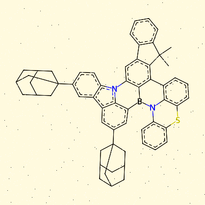 CC1(C)c2ccccc2-c2cc3c4c(c21)-c1cccc2c1N(B4c1cc(C45CC6CC(CC(C6)C4)C5)cc4c5cc(C67CC8CC(CC(C8)C6)C7)ccc5n-3c14)c1ccccc1S2